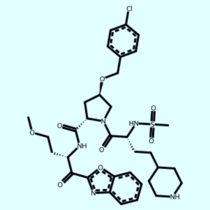 COCC[C@H](NC(=O)[C@@H]1C[C@@H](OCc2ccc(Cl)cc2)CN1C(=O)[C@@H](CCC1CCNCC1)NS(C)(=O)=O)C(=O)c1nc2ccccc2o1